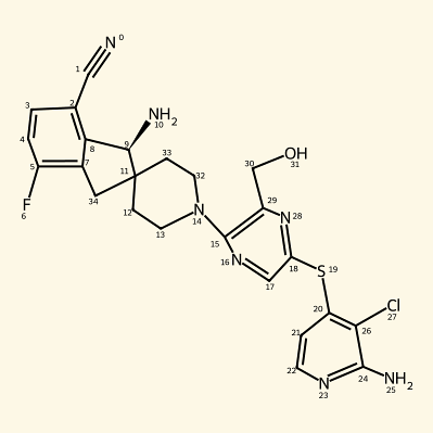 N#Cc1ccc(F)c2c1[C@@H](N)C1(CCN(c3ncc(Sc4ccnc(N)c4Cl)nc3CO)CC1)C2